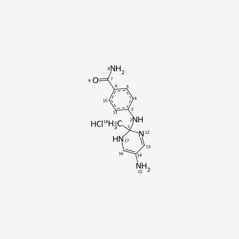 CC1(Nc2ccc(C(N)=O)cc2)N=CC(N)=CN1.Cl